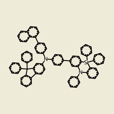 c1ccc(N2c3ccccc3[Si](c3ccccc3)(c3ccccc3)c3ccc(-c4ccc(N(c5ccc(-c6cccc7ccccc67)cc5)c5ccc6c(c5)C(c5ccccc5)(c5ccccc5)c5ccccc5-6)cc4)cc32)cc1